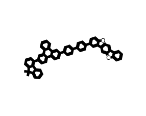 CC1(C)c2ccccc2-c2c(-c3ccc4c5ccc(-c6ccc(-c7ccc(-c8ccc9oc%10cc%11c(cc%10c9c8)oc8ccccc8%11)cc7)cc6)cc5c5ccccc5c4c3)cccc21